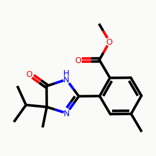 COC(=O)c1ccc(C)cc1C1=NC(C)(C(C)C)C(=O)N1